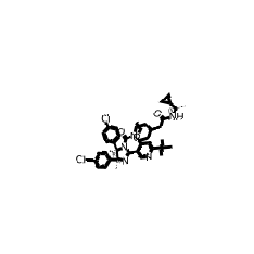 CCOc1cc(C(C)(C)C)ncc1C1=N[C@@](C)(c2ccc(Cl)cc2)[C@@](C)(c2ccc(Cl)cc2)N1C(=O)N1CCC(CC(=O)N[C@@H](C)C2CC2)CC1